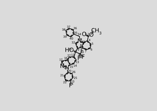 COC(=O)c1cccc2c(C(O)(c3ccc4c(cnn4-c4ccc(F)cc4)c3)C(F)(F)F)cn(Cc3ccccc3)c12